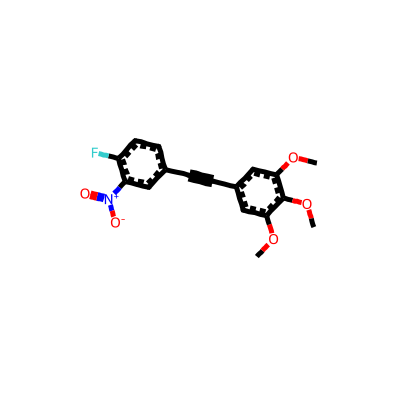 COc1cc(C#Cc2ccc(F)c([N+](=O)[O-])c2)cc(OC)c1OC